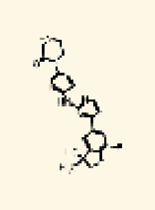 CC1(C)COc2c(F)cc(-c3ccnc(Nc4ccc(N5CCNCC5=O)cn4)n3)cc21